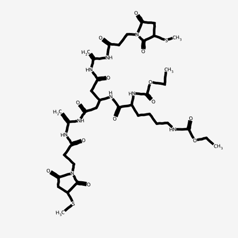 C=C(NC(=O)CCN1C(=O)CC(SC)C1=O)NC(=O)CC(CC(=O)NC(=C)NC(=O)CCN1C(=O)CC(SC)C1=O)NC(=O)C(CCCCNC(=O)OCC)NC(=O)OCC